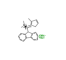 CC1=[C]([Ti+2]([CH]2c3ccccc3-c3ccccc32)=[Si](C)C)CC=C1.[Cl-].[Cl-]